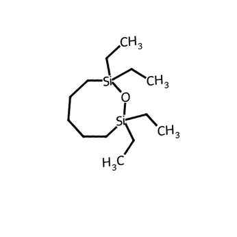 CC[Si]1(CC)CCCCC[Si](CC)(CC)O1